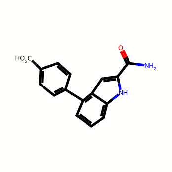 NC(=O)c1cc2c(-c3ccc(C(=O)O)cc3)cccc2[nH]1